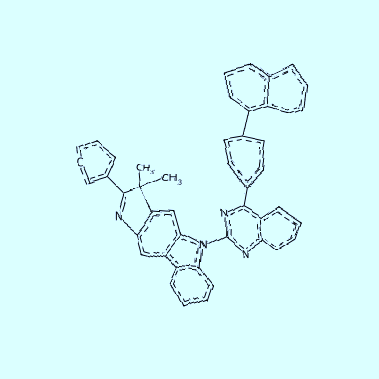 CC1(C)C(c2ccccc2)=Nc2cc3c4ccccc4n(-c4nc(-c5ccc(-c6cccc7ccccc67)cc5)c5ccccc5n4)c3cc21